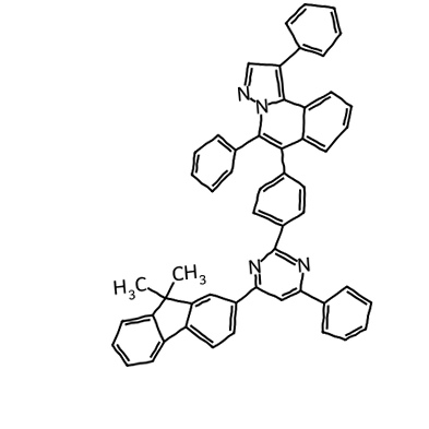 CC1(C)c2ccccc2-c2ccc(-c3cc(-c4ccccc4)nc(-c4ccc(-c5c(-c6ccccc6)n6ncc(-c7ccccc7)c6c6ccccc56)cc4)n3)cc21